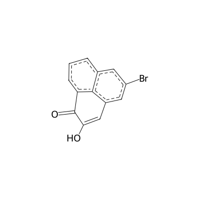 O=C1C(O)=Cc2cc(Br)cc3cccc1c23